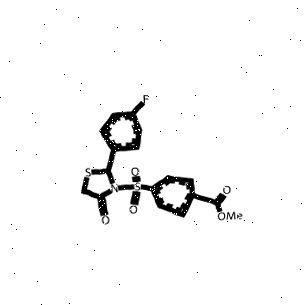 COC(=O)c1ccc(S(=O)(=O)N2C(=O)CSC2c2ccc(F)cc2)cc1